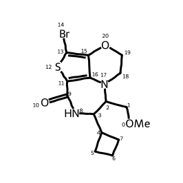 COCC1C(C2CCC2)NC(=O)c2sc(Br)c3c2N1CCO3